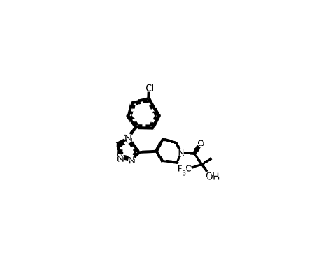 CC(O)(C(=O)N1CCC(c2nncn2-c2ccc(Cl)cc2)CC1)C(F)(F)F